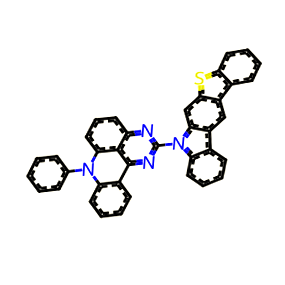 c1ccc(N2c3ccccc3-c3nc(-n4c5ccccc5c5cc6c(cc54)sc4ccccc46)nc4cccc2c34)cc1